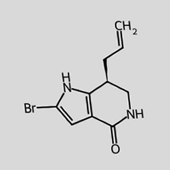 C=CC[C@H]1CNC(=O)c2cc(Br)[nH]c21